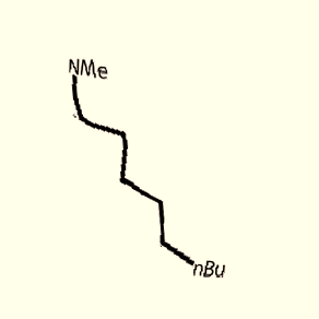 CCCCCCCC[CH]NC